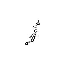 O=C(CC1CCN(C(=O)CCc2cccc(Cl)c2)CC1)NC(Cc1ccc(OCc2ccccc2)cc1)C(=O)O